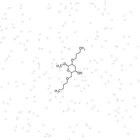 CCCCOCC1O[C@@H](OC)C(OCCCC)C[C@H]1O